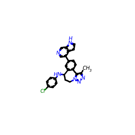 Cc1nnn2c1-c1ccc(-c3cncc4[nH]ccc34)cc1C(Nc1ccc(Cl)cc1)CC2